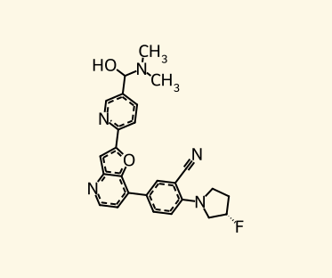 CN(C)C(O)c1ccc(-c2cc3nccc(-c4ccc(N5CC[C@H](F)C5)c(C#N)c4)c3o2)nc1